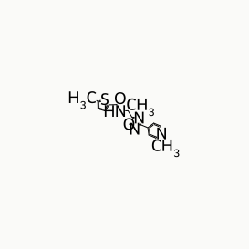 Cc1cc(-c2noc([C@H](C)NC(=O)c3ccc(C)s3)n2)ccn1